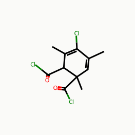 CC1=CC(C)(C(=O)Cl)C(C(=O)Cl)C(C)=C1Cl